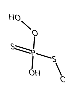 OOP(O)(=S)SO